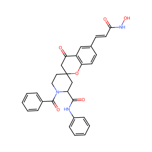 O=C(/C=C/c1ccc2c(c1)C(=O)CC1(CCN(C(=O)c3ccccc3)C(C(=O)Nc3ccccc3)C1)O2)NO